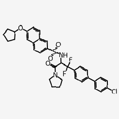 O=C(C(NS(=O)(=O)c1ccc2cc(OC3CCCC3)ccc2c1)C(F)(F)c1ccc(-c2ccc(Cl)cc2)cc1)N1CCCC1